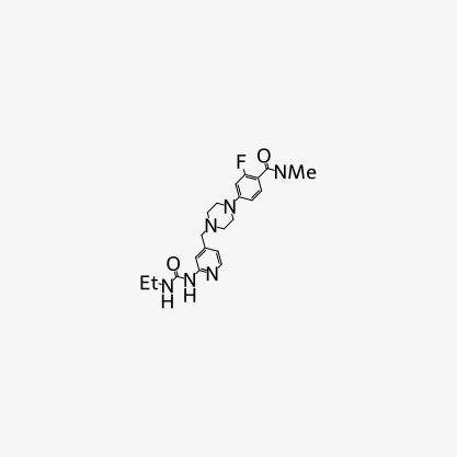 CCNC(=O)Nc1cc(CN2CCN(c3ccc(C(=O)NC)c(F)c3)CC2)ccn1